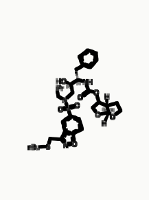 CCCCSCc1noc2ccc(S(=O)(=O)N(CC(C)C)C[C@@H](O)[C@H](Cc3ccccc3)NC(=O)OC3CO[C@H]4OCC[C@@H]34)cc12